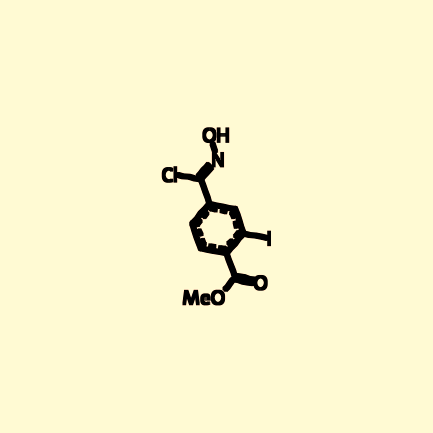 COC(=O)c1ccc(C(Cl)=NO)cc1I